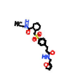 N#CCNC(=O)C1CCCCC1CS(=O)(=O)c1ccc(CCC(=O)NCc2ccco2)cc1